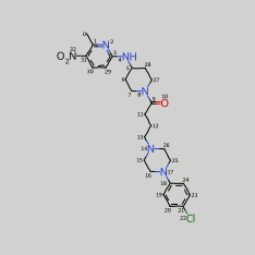 Cc1nc(NC2CCN(C(=O)CCCN3CCN(c4ccc(Cl)cc4)CC3)CC2)ccc1[N+](=O)[O-]